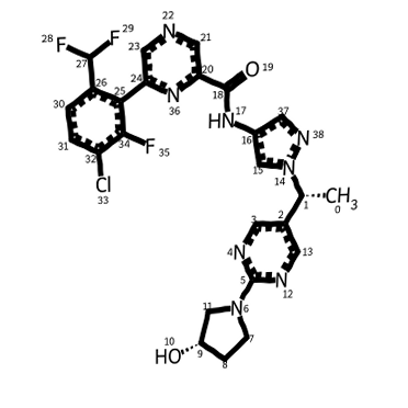 C[C@H](c1cnc(N2CC[C@H](O)C2)nc1)n1cc(NC(=O)c2cncc(-c3c(C(F)F)ccc(Cl)c3F)n2)cn1